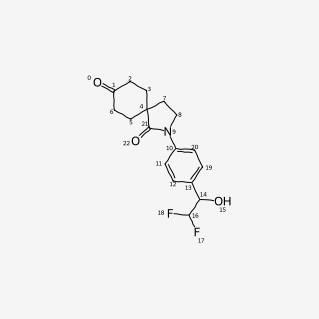 O=C1CCC2(CC1)CCN(c1ccc(C(O)C(F)F)cc1)C2=O